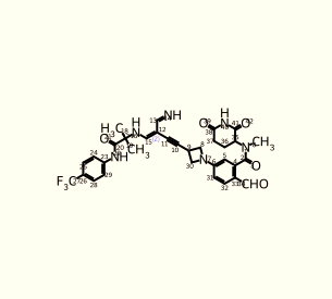 CN(C(=O)c1cc(N2CC(C#C/C(C=N)=C/NC(C)(C)C(=O)Nc3ccc(C(F)(F)F)cc3)C2)ccc1C=O)C1CCC(=O)NC1=O